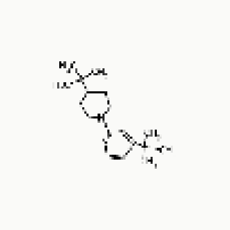 CC(C)(C)c1ccnc(N2CCC(C(C)(C)C)CC2)c1